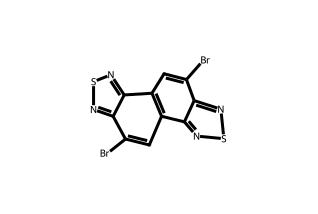 Brc1cc2c(cc(Br)c3nsnc32)c2nsnc12